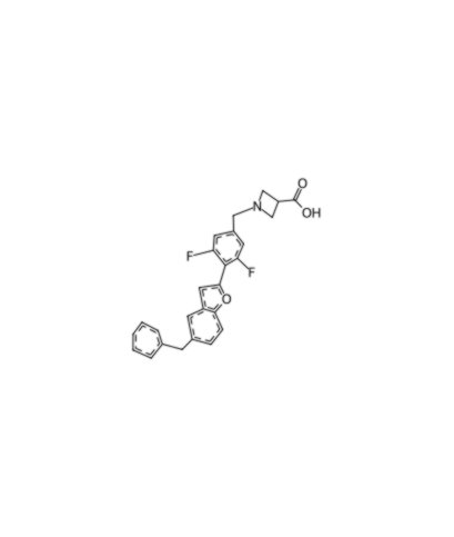 O=C(O)C1CN(Cc2cc(F)c(-c3cc4cc(Cc5ccccc5)ccc4o3)c(F)c2)C1